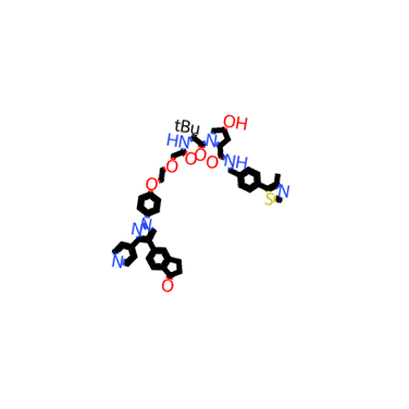 Cc1ncsc1-c1ccc(CNC(=O)C2CC(O)CN2C(=O)C(NC(=O)COCCOc2ccc(-n3cc(-c4ccc5c(c4)CCC5=O)c(-c4ccncc4)n3)cc2)C(C)(C)C)cc1